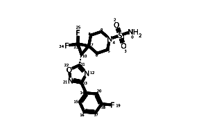 NS(=O)(=O)N1CCC2(CC1)[C@H](c1nc(-c3cccc(F)c3)no1)C2(F)F